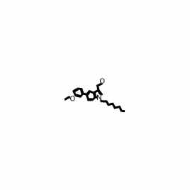 CCCCCCCCn1cc(CC=O)c2cc(-c3cccc(OCC)c3)ccc21